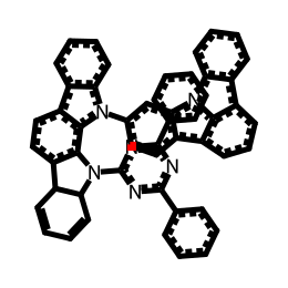 C1=CC2c3ccc4c5ccccc5n(-c5ccc6c7cccc8c9ccccc9n(c6c5)c87)c4c3N(c3nc(-c4ccccc4)nc(-c4ccccc4)n3)C2C=C1